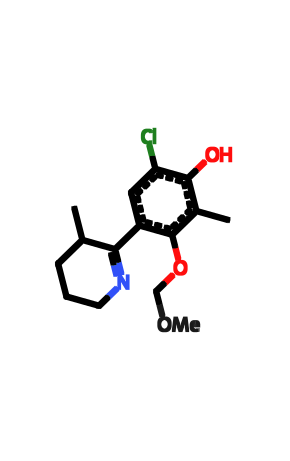 COCOc1c(C2=NCCCC2C)cc(Cl)c(O)c1C